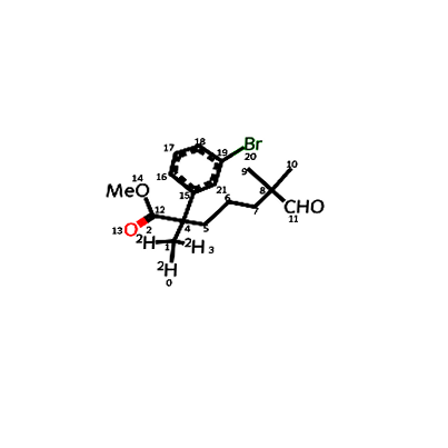 [2H]C([2H])([2H])C(CCCC(C)(C)C=O)(C(=O)OC)c1cccc(Br)c1